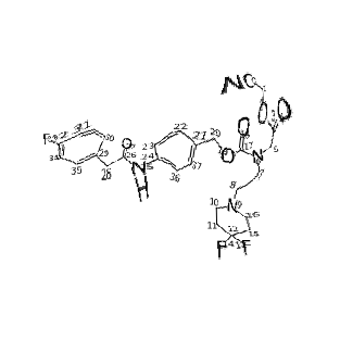 N#CCOC(=O)CN(CCN1CCC(F)(F)CC1)C(=O)OCc1ccc(NC(=O)Cc2ccc(F)cc2)cc1